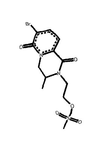 CC1Cn2c(ccc(Br)c2=O)C(=O)N1CCOS(C)(=O)=O